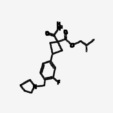 CC(C)COC(=O)C1(C(N)=O)CC(c2ccc(CN3CCCC3)c(F)c2)C1